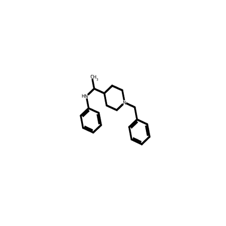 CC(Nc1ccccc1)C1CCN(Cc2ccccc2)CC1